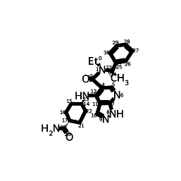 CCN(C(=O)c1cnc2[nH]ncc2c1N[C@H]1CC[C@@H](C(N)=O)CC1)[C@H](C)c1ccccc1